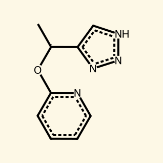 C[C](Oc1ccccn1)c1c[nH]nn1